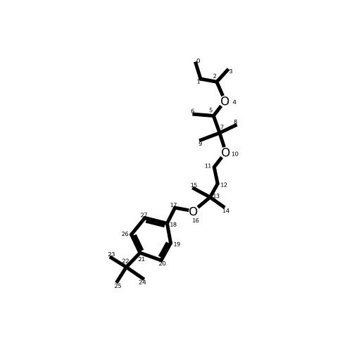 CCC(C)OC(C)C(C)(C)OCCC(C)(C)OCc1ccc(C(C)(C)C)cc1